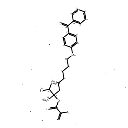 C=C(C)C(=O)OC(CCCCCCOc1ccc(C(=O)c2ccccc2)cc1)(C(=O)O)C(CC)C(=O)O